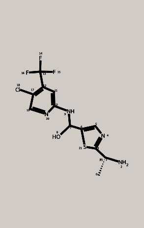 C[C@@H](N)c1ncc(C(O)Nc2cc(C(F)(F)F)c(Cl)cn2)s1